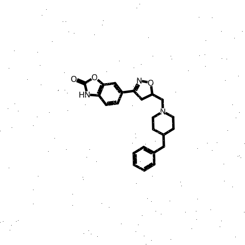 O=c1[nH]c2ccc(C3=NOC(CN4CCC(Cc5ccccc5)CC4)C3)cc2o1